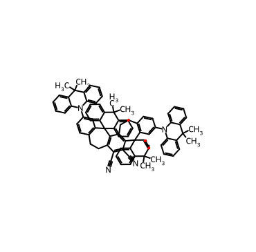 CC1(C)c2ccccc2N(c2ccc3c(c2)C2(c4ccccc4C(C)(C)c4ccccc42)c2c(C#N)c(C#N)c4c(c2CC3)C2(c3cc(N5c6ccccc6C(C)(C)c6ccccc65)ccc3CC4)c3ccccc3C(C)(C)c3ccccc32)c2ccccc21